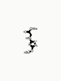 CCCCOc1nsc(NCC(=O)OC)n1